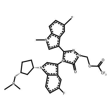 CN(C)C[C@@H]1CC[C@H](n2cc(-n3c(-c4cn(C)c5ccc(F)cc45)nn(COC(=O)C(F)(F)F)c3=O)c3cc(F)ccc32)C1